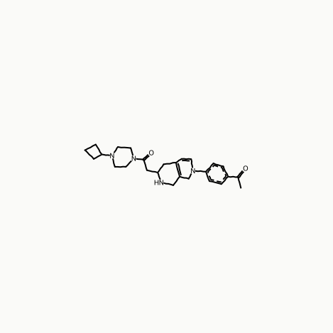 CC(=O)c1ccc(N2C=CC3=C(CNC(CC(=O)N4CCN(C5CCC5)CC4)C3)C2)cc1